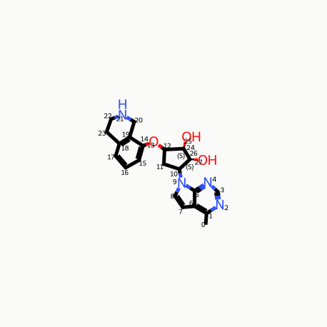 Cc1ncnc2c1ccn2C1CC(Oc2cccc3c2CNCC3)[C@@H](O)[C@H]1O